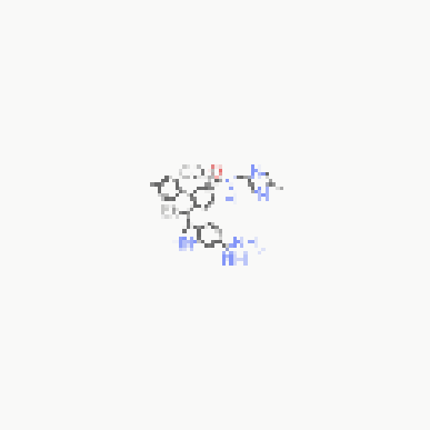 CCC(c1ccc(C(=O)NCc2cnc(C)cn2)cc1-c1ccc(C)cc1C(=O)O)c1c[nH]c2cc(C(=N)N)ccc12